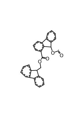 O=[C]OC1c2ccccc2-c2cccc(C(=O)OCC3c4ccccc4-c4ccccc43)c21